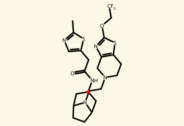 Cc1ncc(CC(=O)NC2CC3CCC(C2)N3CCN2CCc3sc(OCC(F)(F)F)nc3C2)s1